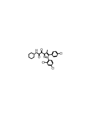 Cc1c(C(=O)C(=O)NN2CCCCC2)nn(-c2ccc(Cl)cc2Cl)c1-c1ccc(Cl)cc1